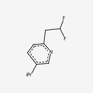 CC(C)c1ccc(CC(F)F)nc1